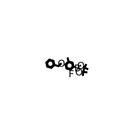 Cc1cc(B2OC(C)(C)C(C)(C)O2)c(F)cc1OCc1ccccc1